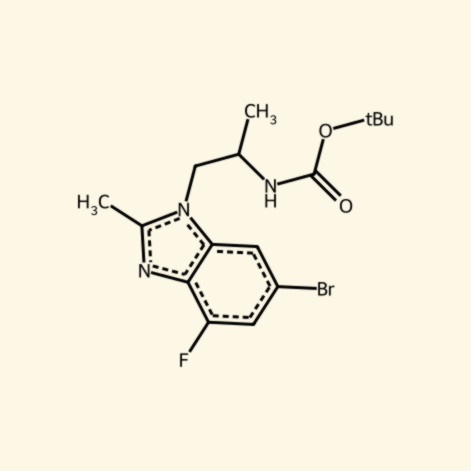 Cc1nc2c(F)cc(Br)cc2n1CC(C)NC(=O)OC(C)(C)C